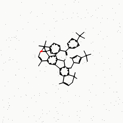 CCC1C=C(C(C)(C)C)C=[C]1[Zr+2](=[C](c1ccc(C(C)(C)C)cc1)c1ccc(C(C)(C)C)cc1)[CH]1c2cc3c(cc2-c2cc4c(cc21)C(C)(C)CC=C4C)C(C)=CCC3(C)C.[Cl-].[Cl-]